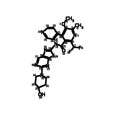 COc1c(C)nc(C(F)F)c(C(=O)Nc2nc3cnc(N4CCC(O)CC4)nc3s2)c1-c1ccncc1